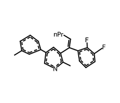 CCC/C=C(\c1cc(-c2cccc(C)c2)cnc1C)c1cccc(F)c1F